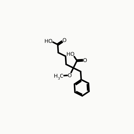 COC(CCCC(=O)O)(Cc1ccccc1)C(=O)O